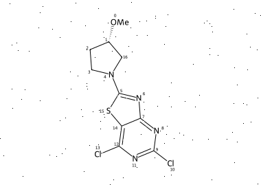 CO[C@H]1CCN(c2nc3nc(Cl)nc(Cl)c3s2)C1